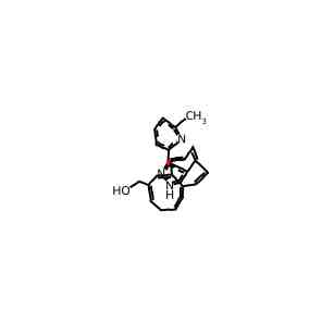 Cc1cccc(-c2n[nH]cc2C2=C\C=C\C3=C\C(CO)=C/CC=C=C3/C=C\2)n1